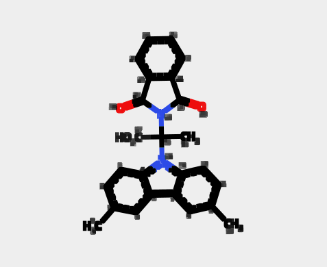 Cc1ccc2c(c1)c1cc(C)ccc1n2C(C)(C(=O)O)N1C(=O)c2ccccc2C1=O